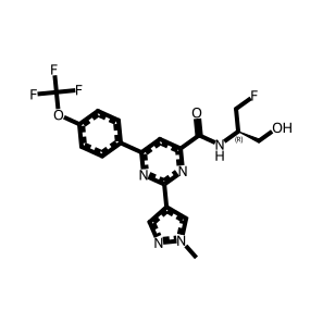 Cn1cc(-c2nc(C(=O)N[C@H](CO)CF)cc(-c3ccc(OC(F)(F)F)cc3)n2)cn1